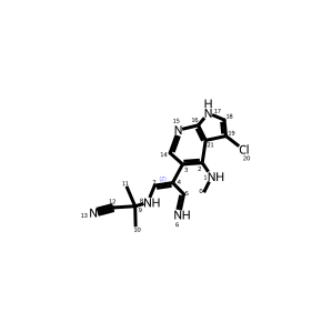 CNc1c(/C(C=N)=C/NC(C)(C)C#N)cnc2[nH]cc(Cl)c12